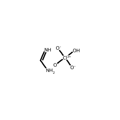 N=CN.[O-][Cl+3]([O-])([O-])O